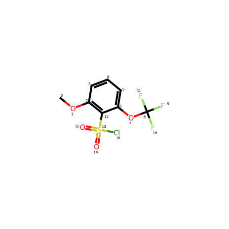 COc1cccc(OC(F)(F)F)c1S(=O)(=O)Cl